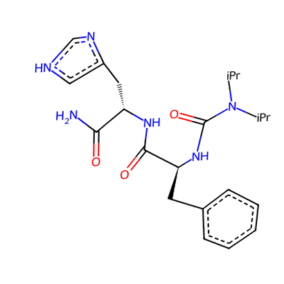 CC(C)N(C(=O)N[C@@H](Cc1ccccc1)C(=O)N[C@@H](Cc1c[nH]cn1)C(N)=O)C(C)C